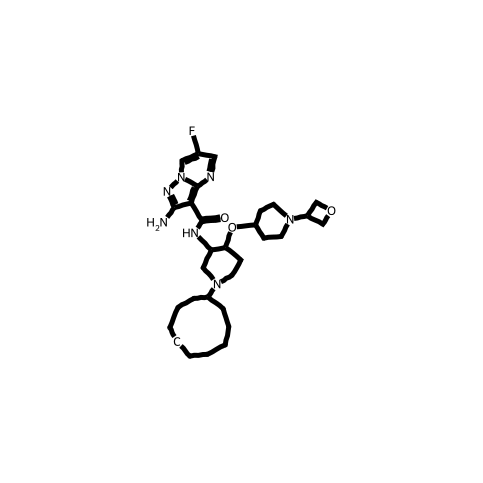 Nc1nn2cc(F)cnc2c1C(=O)NC1CN(C2CCCCCCCCC2)CCC1OC1CCN(C2COC2)CC1